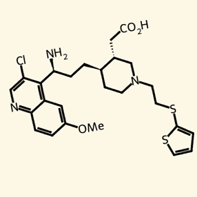 COc1ccc2ncc(Cl)c([C@@H](N)CC[C@@H]3CCN(CCSc4cccs4)C[C@H]3CC(=O)O)c2c1